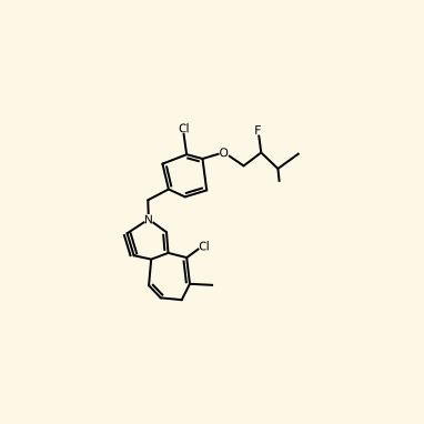 CC1=C(Cl)C2=CN(Cc3ccc(OCC(F)C(C)C)c(Cl)c3)C#CC2C=CC1